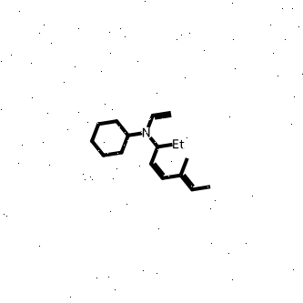 C=CN(C(/C=C\C(C)=C\C)CC)C1CCCCC1